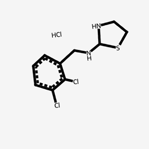 Cl.Clc1cccc(CNC2NCCS2)c1Cl